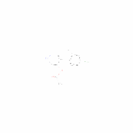 Cc1cc(F)ccc1C1=CCNCC1OC(=O)C(C)(C)C